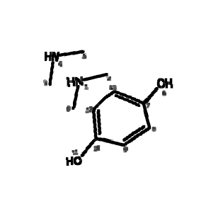 CNC.CNC.Oc1ccc(O)cc1